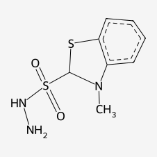 CN1c2ccccc2SC1S(=O)(=O)NN